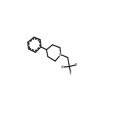 FC(F)(F)CN1CCC(c2cc[c]cc2)CC1